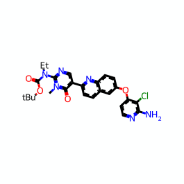 CCN(C(=O)OC(C)(C)C)c1ncc(-c2ccc3cc(Oc4ccnc(N)c4Cl)ccc3n2)c(=O)n1C